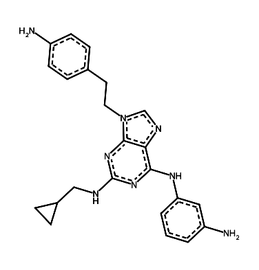 Nc1ccc(CCn2cnc3c(Nc4cccc(N)c4)nc(NCC4CC4)nc32)cc1